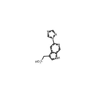 O=C(O)Cc1c[nH]c2cnc(-n3cncn3)cc12